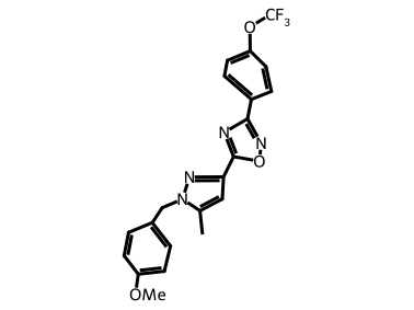 COc1ccc(Cn2nc(-c3nc(-c4ccc(OC(F)(F)F)cc4)no3)cc2C)cc1